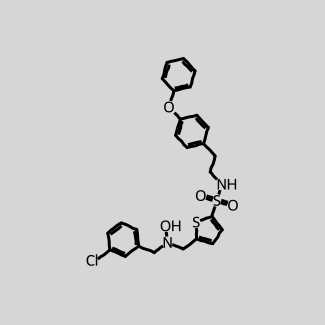 O=S(=O)(NCCc1ccc(Oc2ccccc2)cc1)c1ccc(CN(O)Cc2cccc(Cl)c2)s1